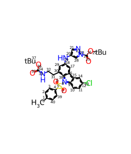 Cc1ccc(S(=O)(=O)n2c3ccc(Cl)cc3c3cc(Nc4cnn(C(=O)OC(C)(C)C)c4)cc(CCNC(=O)OC(C)(C)C)c32)cc1